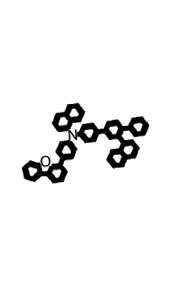 c1ccc(-c2ccc(-c3ccc(N(c4ccc(-c5cccc6c5oc5ccccc56)cc4)c4cccc5ccccc45)cc3)cc2-c2cccc3ccccc23)cc1